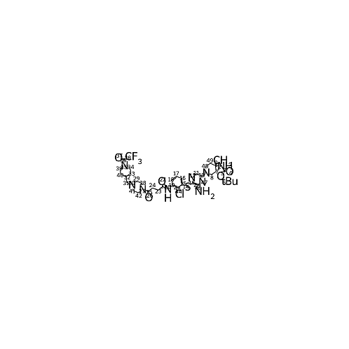 CC1(NC(=O)OC(C)(C)C)CCN(c2cnc(Sc3cccc(NC(=O)CCC(=O)N4CCN(CC5CCN(C(=O)C(F)(F)F)CC5)CC4)c3Cl)c(N)n2)CC1